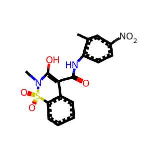 Cc1cc([N+](=O)[O-])ccc1NC(=O)C1=C(O)N(C)S(=O)(=O)c2ccccc21